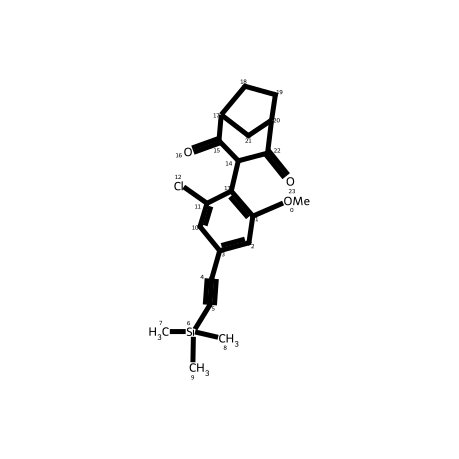 COc1cc(C#C[Si](C)(C)C)cc(Cl)c1C1C(=O)C2CCC(C2)C1=O